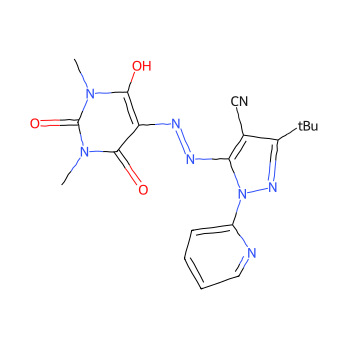 Cn1c(O)c(N=Nc2c(C#N)c(C(C)(C)C)nn2-c2ccccn2)c(=O)n(C)c1=O